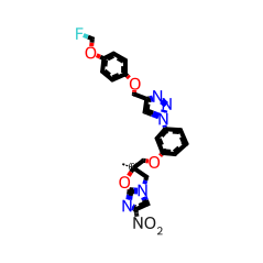 C[C@]1(COc2cccc(-n3cc(COc4ccc(OCF)cc4)nn3)c2)Cn2cc([N+](=O)[O-])nc2O1